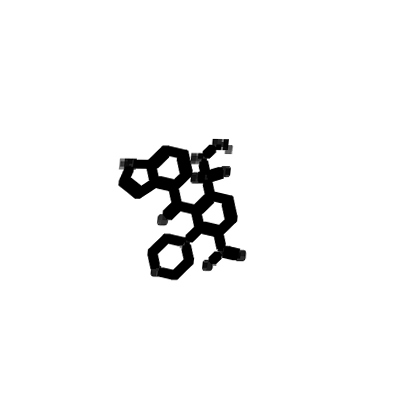 NNS(=O)(=O)c1ccc([N+](=O)[O-])c(N2CCOCC2)c1C(=O)c1cccc2[nH]ccc12